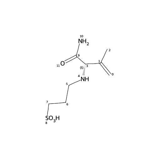 C=C(C)[C@H](NCCCS(=O)(=O)O)C(N)=O